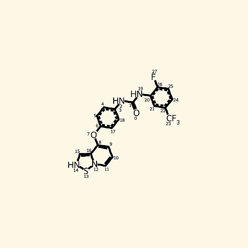 O=C(Nc1ccc(OC2=CC=CN3SNC=C23)cc1)Nc1cc(C(F)(F)F)ccc1F